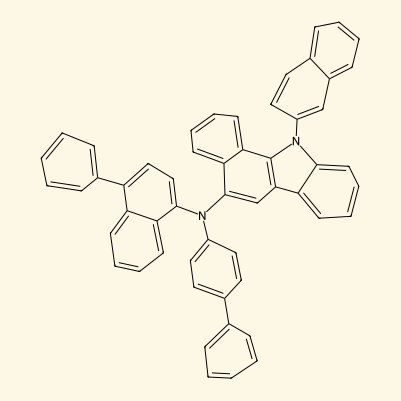 c1ccc(-c2ccc(N(c3ccc(-c4ccccc4)c4ccccc34)c3cc4c5ccccc5n(-c5ccc6ccccc6c5)c4c4ccccc34)cc2)cc1